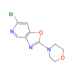 Brc1cc2oc(N3CCOCC3)nc2cn1